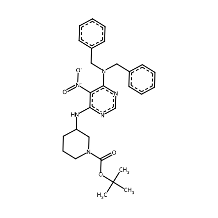 CC(C)(C)OC(=O)N1CCCC(Nc2ncnc(N(Cc3ccccc3)Cc3ccccc3)c2[N+](=O)[O-])C1